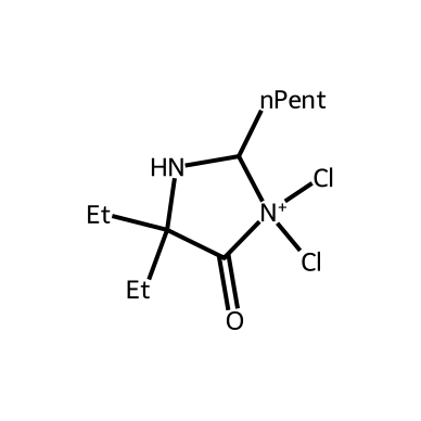 CCCCCC1NC(CC)(CC)C(=O)[N+]1(Cl)Cl